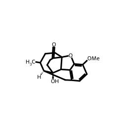 COc1ccc2c3c1OC14CCC(C)[C@H](C2)[C@](O)(CCC1=O)C34